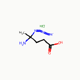 CC(N)(CCC(=O)O)N=[N+]=[N-].Cl